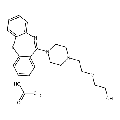 CC(=O)O.OCCOCCN1CCN(C2=Nc3ccccc3Sc3ccccc32)CC1